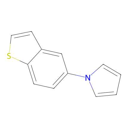 c1ccn(-c2ccc3sccc3c2)c1